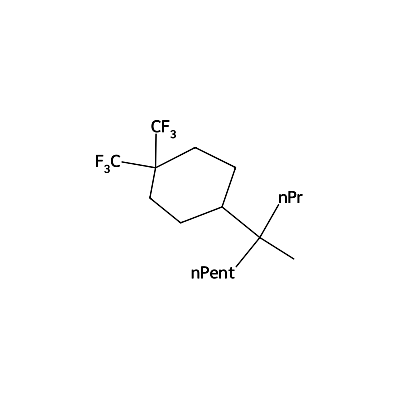 CCCCCC(C)(CCC)C1CCC(C(F)(F)F)(C(F)(F)F)CC1